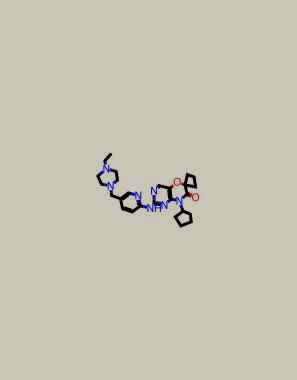 CCN1CCN(Cc2ccc(Nc3ncc4c(n3)N(C3CCCC3)C(=O)C3(CCC3)O4)nc2)CC1